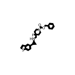 O=C(OCc1ccccc1)N1CCC(F)(CNC2CC2c2ccc3sccc3c2)CC1